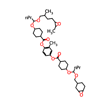 CCCC(OCC(C)CCC1OC1C)OC1CCC(C(=O)Oc2ccc(OC(=O)C3CCC(OC(CCC)OCC4CCC5OC5C4)CC3)cc2C)CC1